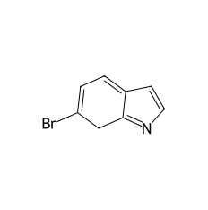 BrC1=CC=C2C=CN=C2C1